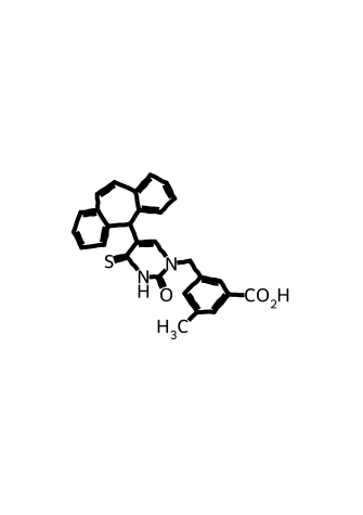 Cc1cc(Cn2cc(C3c4ccccc4C=Cc4ccccc43)c(=S)[nH]c2=O)cc(C(=O)O)c1